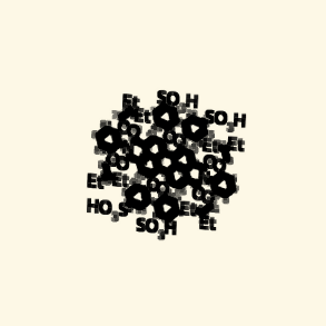 CCC(CC)COc1cccc(OCC(CC)CC)c1N1C(=O)c2cc(Oc3ccc(S(=O)(=O)O)cc3)c3c4c(Oc5ccc(S(=O)(=O)O)cc5)cc5c6c(cc(Oc7ccc(S(=O)(=O)O)cc7)c(c7c(Oc8ccc(S(=O)(=O)O)cc8)cc(c2c37)C1=O)c64)C(=O)N(c1c(OCC(CC)CC)cccc1OCC(CC)CC)C5=O